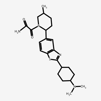 CC1CCC(c2ccc3sc(C4CCC(N(C)C)CC4)nc3c2)N(C(=O)C(N)=O)C1